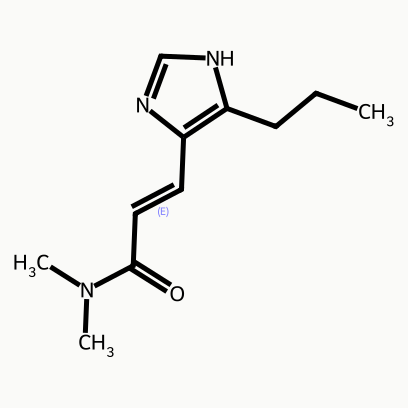 CCCc1[nH]cnc1/C=C/C(=O)N(C)C